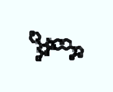 O=C1OCCN1C1CCN2Cc3nc4c(N5CCOCC5)nc(Cl)nc4n3CC2C1